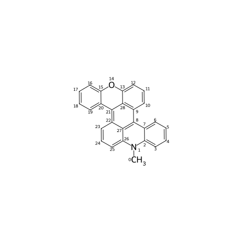 Cn1c2ccccc2c2c3cccc4oc5ccccc5c(c5cccc1c52)c43